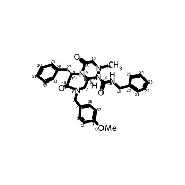 COc1ccc(CN2C[C@H]3N(C(=O)CN(C)N3C(=O)NCc3ccccc3)[C@@H](Cc3ccccc3)C2=O)cc1